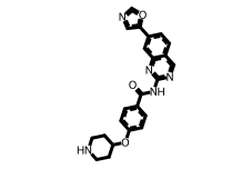 O=C(Nc1ncc2ccc(-c3cnco3)cc2n1)c1ccc(OC2CCNCC2)cc1